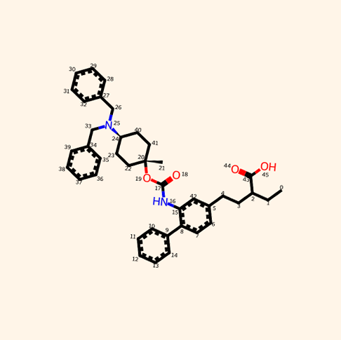 CCC(CCc1ccc(-c2ccccc2)c(NC(=O)O[C@]2(C)CC[C@@H](N(Cc3ccccc3)Cc3ccccc3)CC2)c1)C(=O)O